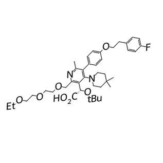 CCOCCOCCOCc1nc(C)c(-c2ccc(OCCc3ccc(F)cc3)cc2)c(N2CCC(C)(C)CC2)c1[C@H](OC(C)(C)C)C(=O)O